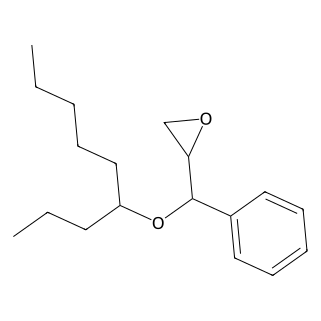 CCCCCC(CCC)OC(c1ccccc1)C1CO1